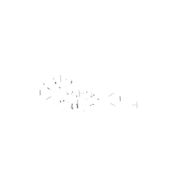 Cc1ccc(Cn2cc(F)c(C(=O)N[C@@H]3C(=O)N(C)c4ncccc4O[C@@H]3C)n2)cc1